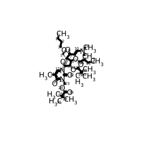 CCCCOC[C@@]1(C(=O)/C=C/N(C)C)O[C@@H](n2cc(C)c(=O)n(COC(=O)C(C)(C)C)c2=O)[C@@H](OC(=O)C(C)(C)C)C1OCCCC